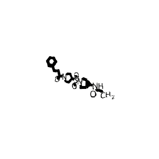 C=CC(=O)NC1C2CN(S(=O)(=O)C3CCN(C(=O)CCc4ccccc4)CC3)CC21